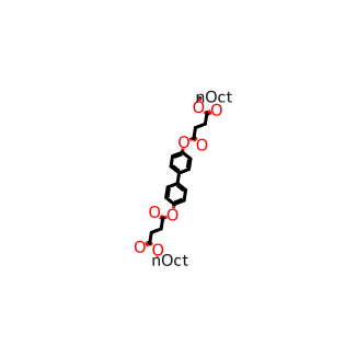 CCCCCCCCOC(=O)CCC(=O)Oc1ccc(-c2ccc(OC(=O)CCC(=O)OCCCCCCCC)cc2)cc1